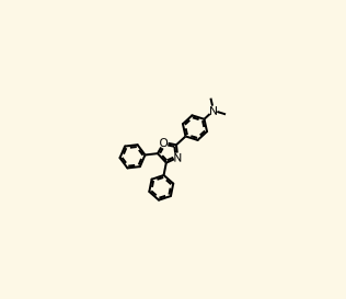 CN(C)c1ccc(-c2nc(-c3ccccc3)c(-c3ccccc3)o2)cc1